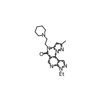 CCn1ncc2c1ncc1c(=O)n(CCN3CCCCC3)c3cc(C)nn3c12